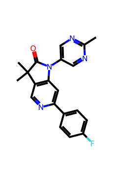 Cc1ncc(N2C(=O)C(C)(C)c3cnc(-c4ccc(F)cc4)cc32)cn1